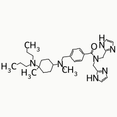 CCCN(CCC)C1(C)CCC(N(C)Cc2ccc(C(=O)N(Cc3ncc[nH]3)Cc3ncc[nH]3)cc2)CC1